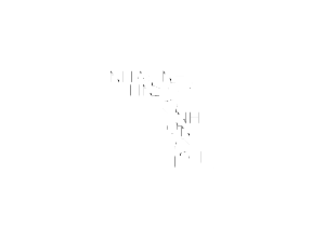 CC(=O)Nc1[nH]cc(-c2ccc(NC(=O)Nc3ccc(F)c(C(F)(F)F)c3)cc2)c1C(N)=O